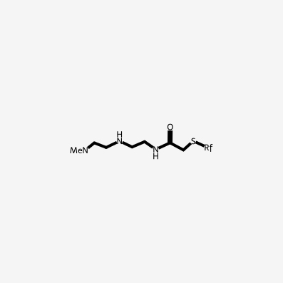 CNCCNCCNC(=O)C[S][Rf]